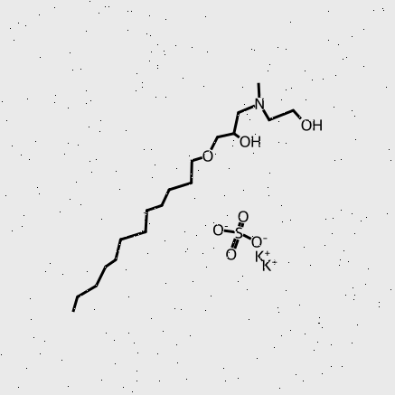 CCCCCCCCCCCCOCC(O)CN(C)CCO.O=S(=O)([O-])[O-].[K+].[K+]